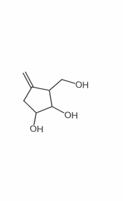 C=C1CC(O)C(O)C1CO